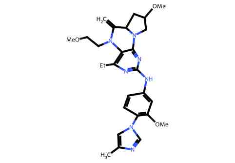 C=C1C2CC(OC)CN2c2nc(Nc3ccc(-n4cnc(C)c4)c(OC)c3)nc(CC)c2N1CCOC